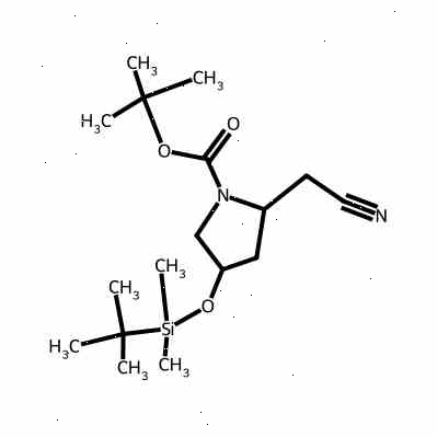 CC(C)(C)OC(=O)N1CC(O[Si](C)(C)C(C)(C)C)CC1CC#N